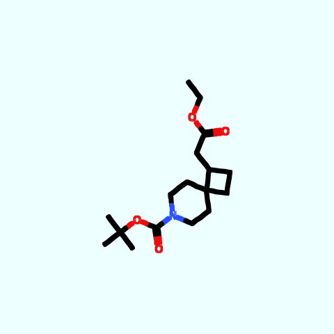 CCOC(=O)CC1CCC12CCN(C(=O)OC(C)(C)C)CC2